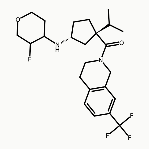 CC(C)[C@]1(C(=O)N2CCc3ccc(C(F)(F)F)cc3C2)CC[C@@H](NC2CCOCC2F)C1